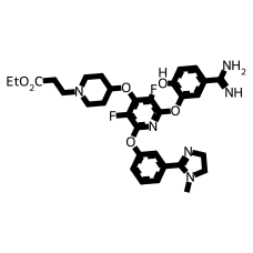 CCOC(=O)CCN1CCC(Oc2c(F)c(Oc3cccc(C4=NCCN4C)c3)nc(Oc3cc(C(=N)N)ccc3O)c2F)CC1